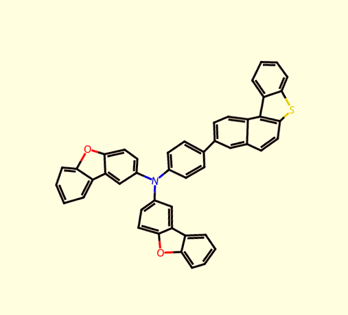 c1ccc2c(c1)oc1ccc(N(c3ccc(-c4ccc5c(ccc6sc7ccccc7c65)c4)cc3)c3ccc4oc5ccccc5c4c3)cc12